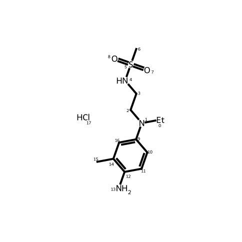 CCN(CCNS(C)(=O)=O)c1ccc(N)c(C)c1.Cl